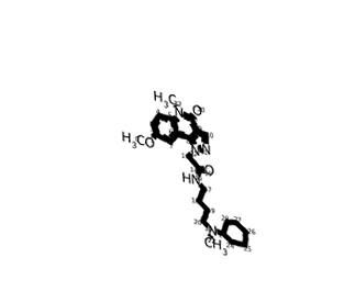 COc1ccc2c(c1)c1c(cnn1CC(=O)NCCCCN(C)C1CCCCC1)c(=O)n2C